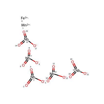 [Fe+3].[Mn+2].[O]=[Nb](=[O])[O-].[O]=[Nb](=[O])[O-].[O]=[Nb](=[O])[O-].[O]=[Nb](=[O])[O-].[O]=[Nb](=[O])[O-]